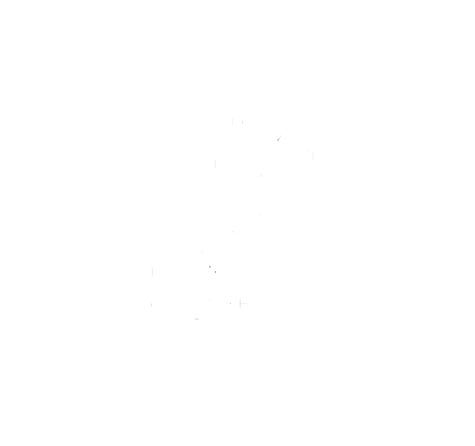 CC1=C(C2=CC=CCC2)C(C)C(C)C(N2C3C=CC=CC3C3(C4C=CCCC4C(C4=C(C)C(C)=C([C@@H]5C6=CCCC6c6ccccc65)C(C)C4C)C4C=CCC43)C3C=CC=CC32)=C1C